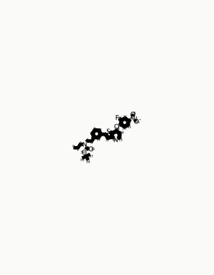 CCCN(CCc1cccc(-c2cc3nccc(Oc4ccc([N+](=O)[O-])cc4F)c3s2)c1)C(=O)OC(C)(C)C